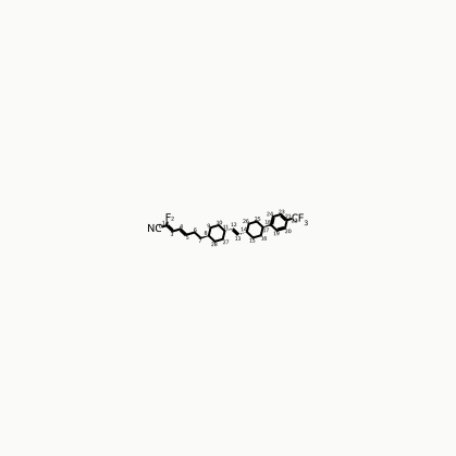 N#CC(F)=CC=CCC[C@H]1CC[C@H](/C=C/[C@H]2CC[C@H](c3ccc(C(F)(F)F)cc3)CC2)CC1